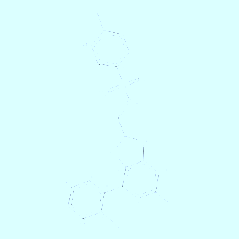 Cc1ccc(S(=O)(=O)OCC2Oc3cc(F)cc(-c4ccccc4C)c3O2)cc1